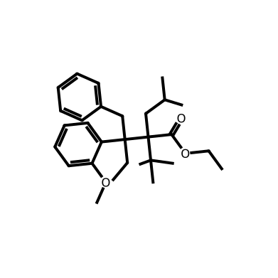 CCOC(=O)C(CC(C)C)(C(C)(C)C)C(CC)(Cc1ccccc1)c1ccccc1OC